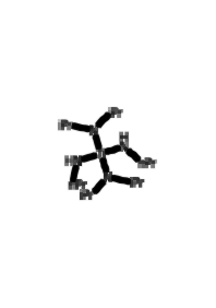 CCC[NH][Ti]([NH]CCC)([N](C(C)C)C(C)C)[N](C(C)C)C(C)C